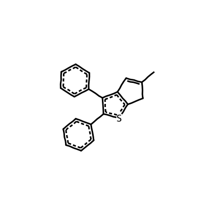 CC1=Cc2c(sc(-c3ccccc3)c2-c2ccccc2)C1